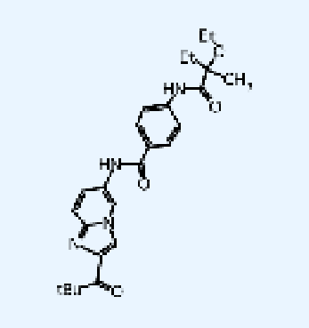 CCOC(C)(CC)C(=O)Nc1ccc(C(=O)Nc2ccc3nc(C(=O)C(C)(C)C)cn3c2)cc1